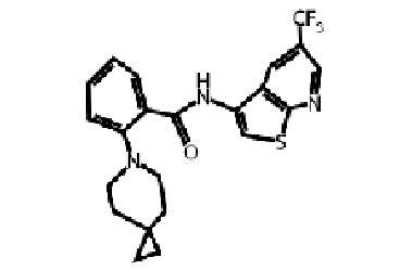 O=C(Nc1csc2ncc(C(F)(F)F)cc12)c1ccccc1N1CCC2(CC1)CC2